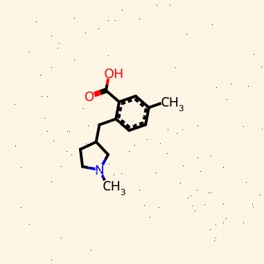 Cc1ccc(CC2CCN(C)C2)c(C(=O)O)c1